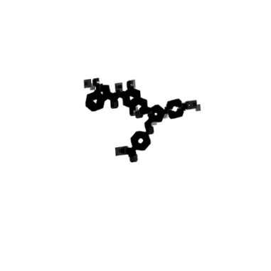 CN1CCN([C@H]2C[C@@H](CO[C@H]3CC[C@H](C(=O)O)CC3)N(C(=O)Cc3cc(Cl)c(NC(=O)c4cn(C)c5ccccc45)cc3Cl)C2)CC1